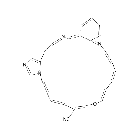 N#CC1=C/O/C=C/C=C\C=C\N=c2/cccc/c2=C\N=C/Cc2cncn2\C=C/C=C/1